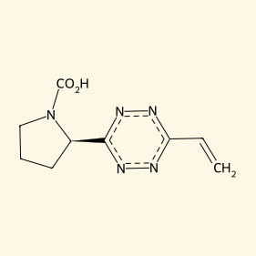 C=Cc1nnc([C@H]2CCCN2C(=O)O)nn1